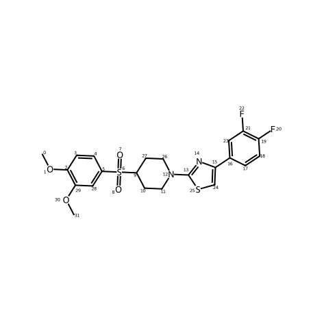 COc1ccc(S(=O)(=O)C2CCN(c3nc(-c4ccc(F)c(F)c4)cs3)CC2)cc1OC